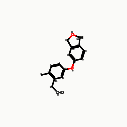 Cc1ccc(Oc2ccc3c(c2)COB3)cc1CC=O